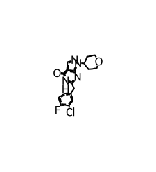 O=c1[nH]c(Cc2ccc(F)c(Cl)c2)nc2c1cnn2C1CCOCC1